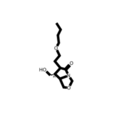 CCCCOCCC1C(=O)N2COCC2[C@@H]1CO